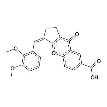 COc1cccc(/C=C2/CCc3c2oc2ccc(C(=O)O)cc2c3=O)c1OC